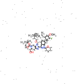 CCc1cc(OC)c(F)cc1-c1ccc2c(-c3nc4c(n3COCC[Si](C)(C)C)CN(C(=O)OC(C)(C)C)C(CO)C4)nn(C3CCCCO3)c2c1